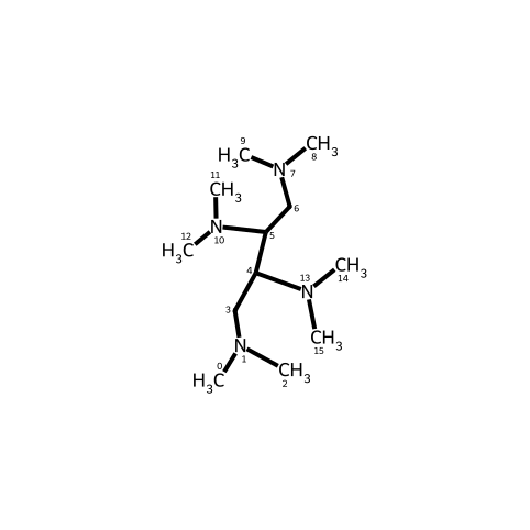 CN(C)CC(C(CN(C)C)N(C)C)N(C)C